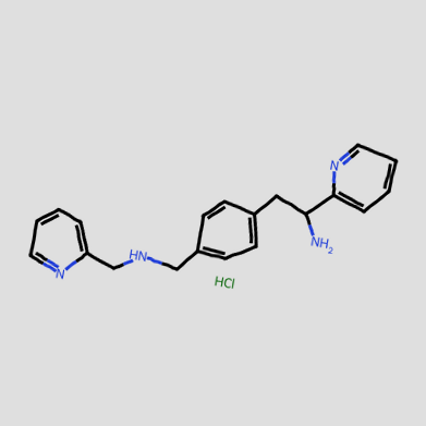 Cl.NC(Cc1ccc(CNCc2ccccn2)cc1)c1ccccn1